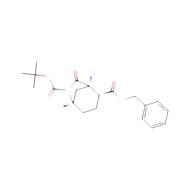 CC(C)(C)OC(=O)N1C(=O)[C@@]2(N)C[C@@H]1[C@@H](I)C[C@@H]2C(=O)OCc1ccccc1